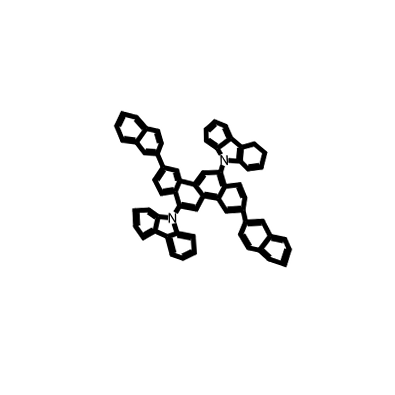 C1=Cc2c(c3ccccc3n2-c2cc3c4cc(-c5ccc6ccccc6c5)ccc4c(-n4c5ccccc5c5ccccc54)cc3c3cc(-c4ccc5ccccc5c4)ccc23)CC1